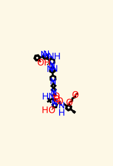 C#Cc1ccc(CNC(=O)[C@@H]2C[C@@H](O)CN2C(=O)[C@@H](NC(=O)N2CC3(CC(N4CCC(c5cnc(N6CCc7[nH]c8nnc(-c9ccccc9O)cc8c7[C@@H]6C)nc5)CC4)C3)C2)C(C)(C)C)c(OCCCOC)c1